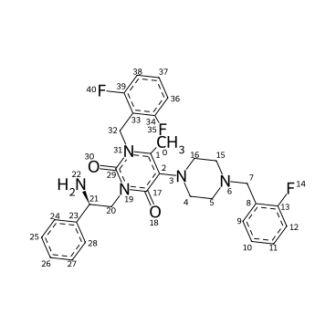 Cc1c(N2CCN(Cc3ccccc3F)CC2)c(=O)n(C[C@H](N)c2ccccc2)c(=O)n1Cc1c(F)cccc1F